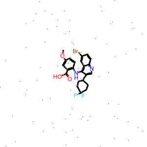 COc1ccc(Nc2c(C3CCC(F)(F)CC3)cnc3ccc(Br)cc23)c(C(=O)O)c1